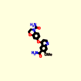 COc1cc2nccc(Oc3ccc4c(c3)OCCN4C(N)=O)c2cc1C(N)=O